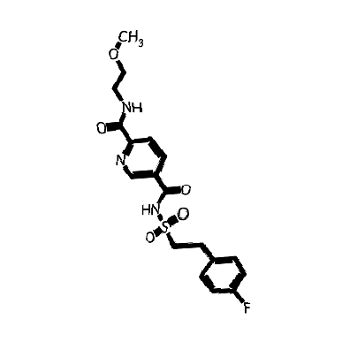 COCCNC(=O)c1ccc(C(=O)NS(=O)(=O)CCc2ccc(F)cc2)cn1